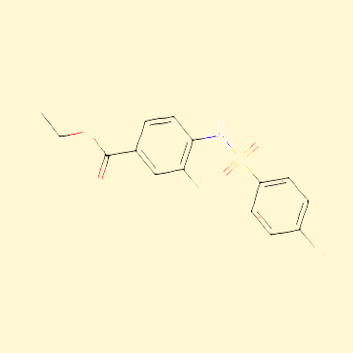 CCOC(=O)c1ccc(NS(=O)(=O)c2ccc(Br)cc2)c(F)c1